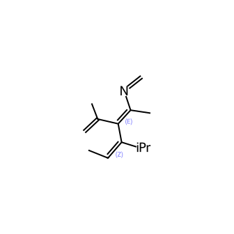 C=N/C(C)=C(C(=C)C)/C(=C\C)C(C)C